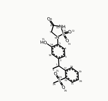 CC(c1ccc(N2CC(=O)NS2(=O)=O)c(O)c1)c1ccccc1S(C)(=O)=O